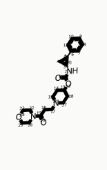 O=C(N[C@@H]1C[C@H]1c1ccccc1)OC1CCN(CCC(=O)N2CCOCC2)CC1